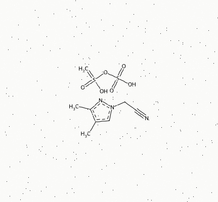 C=S(=O)(O)OS(=O)(=O)O.Cc1cn(CC#N)nc1C